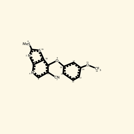 CSc1nc2ncc(C#N)c(Oc3cccc(OC(F)(F)F)c3)c2s1